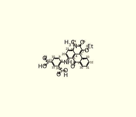 CCOc1c2c3c(c(Nc4ccc(S(=O)O)cc4S(=O)O)ccc3n(C)c1=O)C(=O)c1ccccc1-2